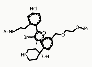 CC(=O)NCCc1ccccc1-c1onc([C@H]2CNCC[C@]2(O)c2ccc(COCCOC(C)C)cc2)c1Br.Cl